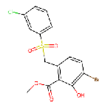 COC(=O)c1c(CS(=O)(=O)c2cccc(Cl)c2)ccc(Br)c1O